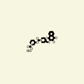 CC(C)(C)OC(=O)N1CCCC(OC(=O)N2CCC3(CC2)CSC2=C(O3)c3ccccc3C(=O)C2=O)C1